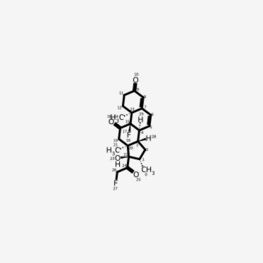 C[C@H]1C[C@H]2[C@@H]3C=CC4=CC(=O)CC[C@]4(C)[C@@]3(F)C(=O)C[C@]2(C)[C@@]1(O)C(=O)CF